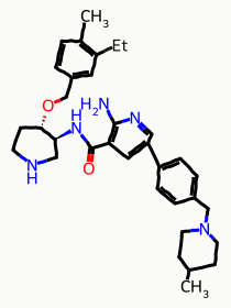 CCc1cc(CO[C@H]2CCNC[C@@H]2NC(=O)c2cc(-c3ccc(CN4CCC(C)CC4)cc3)cnc2N)ccc1C